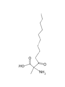 CCCCCCCCCC(=O)C(C)(N)C(=O)O